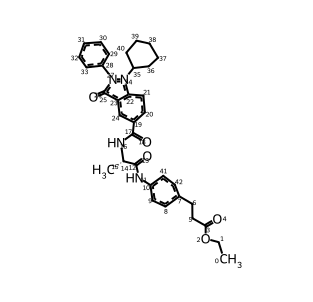 CCOC(=O)CCc1ccc(NC(=O)[C@H](C)NC(=O)c2ccc3c(c2)c(=O)n(-c2ccccc2)n3C2CCCCC2)cc1